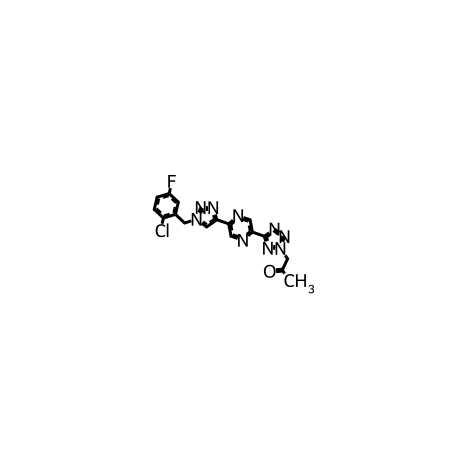 CC(=O)Cn1nnc(-c2cnc(-c3cn(Cc4cc(F)ccc4Cl)nn3)cn2)n1